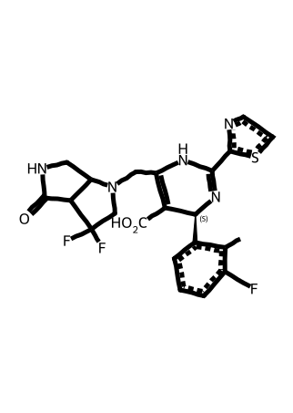 Cc1c(F)cccc1[C@@H]1N=C(c2nccs2)NC(CN2CC(F)(F)C3C(=O)NCC32)=C1C(=O)O